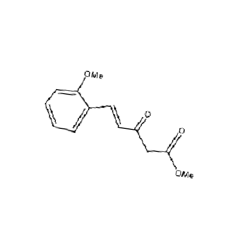 COC(=O)CC(=O)/C=C/c1ccccc1OC